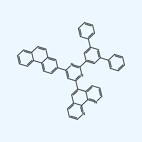 c1ccc(-c2cc(-c3ccccc3)cc(-c3nc(-c4ccc5c(ccc6ccccc65)c4)cc(-c4cc5cccnc5c5ncccc45)n3)c2)cc1